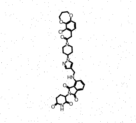 O=C1CCC(N2C(=O)c3cccc(NCc4cnn(C5CCN(C(=O)Cc6ccc7c(c6Cl)OCCCO7)CC5)c4)c3C2=O)C(=O)N1